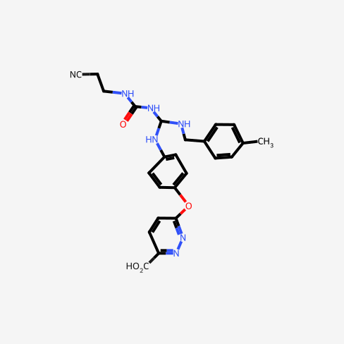 Cc1ccc(CNC(NC(=O)NCCC#N)Nc2ccc(Oc3ccc(C(=O)O)nn3)cc2)cc1